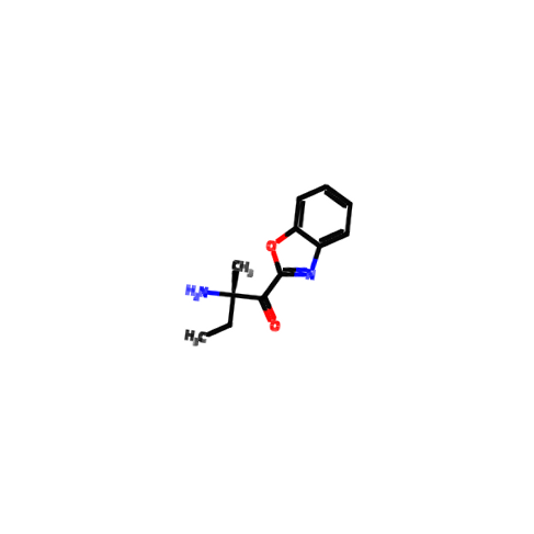 CC[C@](C)(N)C(=O)c1nc2ccccc2o1